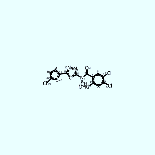 CN(C(=O)c1cc(Cl)c(Cl)cc1C=O)c1nnc(-c2ccc(Cl)s2)o1